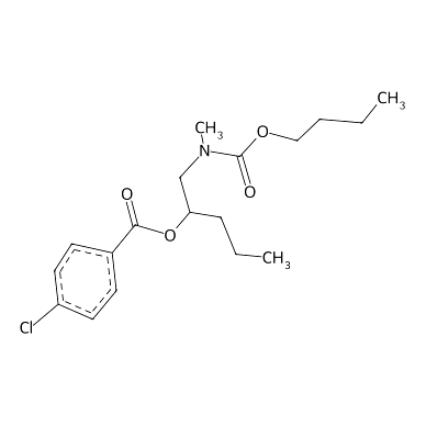 CCCCOC(=O)N(C)CC(CCC)OC(=O)c1ccc(Cl)cc1